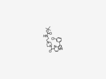 CC(C)(C)OC(=O)NCCN1CCN(C(=O)c2ccn3ncc(-c4cccc(Cl)c4)c3n2)CC1